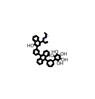 C=C/C(=C\C=C/C)c1cc(-c2cccc(-c3c4ccccc4c(C4=CC(c5c(O)c(O)c(O)c(O)c5O)C=CC=C4)c4ccccc34)c2)c(O)c2ccccc12